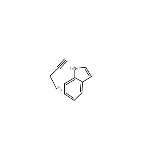 C#CCN.c1ccc2[nH]ccc2c1